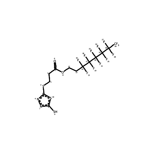 O=C(CCSc1nnc(S)s1)OCCC(F)(F)C(F)(F)C(F)(F)C(F)(F)C(F)(F)C(F)(F)F